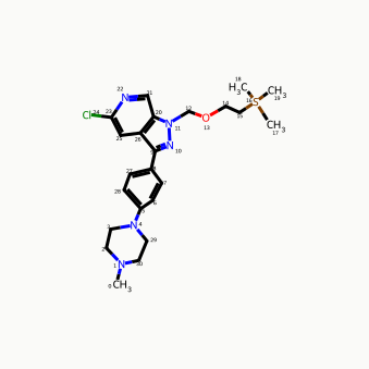 CN1CCN(c2ccc(-c3nn(COCCS(C)(C)C)c4cnc(Cl)cc34)cc2)CC1